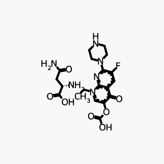 CCn1cc(OC(=O)O)c(=O)c2cc(F)c(N3CCNCC3)nc21.NC(=O)C[C@H](N)C(=O)O